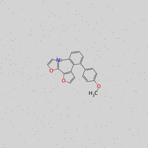 COc1ccc(-c2cccc(C#N)c2-c2ccoc2-c2ccco2)cc1